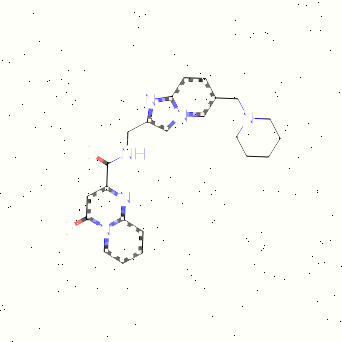 O=C(NCc1cn2cc(CN3CCCCC3)ccc2n1)c1cc(=O)n2ccccc2n1